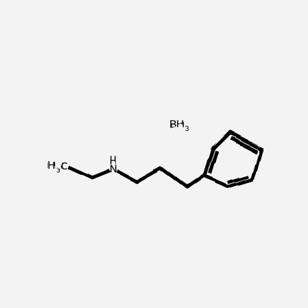 B.CCNCCCc1ccccc1